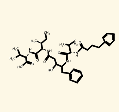 CC[C@H](C)[C@H](NC(=O)CC(O)C(Cc1ccccc1)NC(=O)[C@@H](NC(=O)CCCc1ccccc1)C(C)C)C(=O)N[C@H](C(=O)O)C(C)C